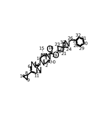 C[C@@H]1CN(c2ncc(C3CC3)cn2)C[C@H](C)N1C(=O)OC1CC2(C1)CN(Cc1ccccc1)C2